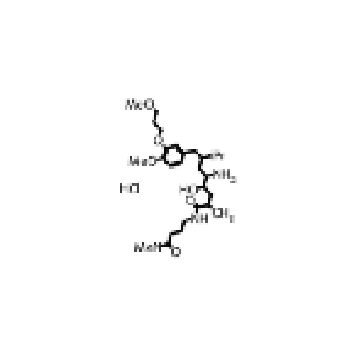 CNC(=O)CCCNC(=O)C(C)CC(O)C(N)CC(Cc1ccc(OC)c(OCCCOC)c1)C(C)C.Cl